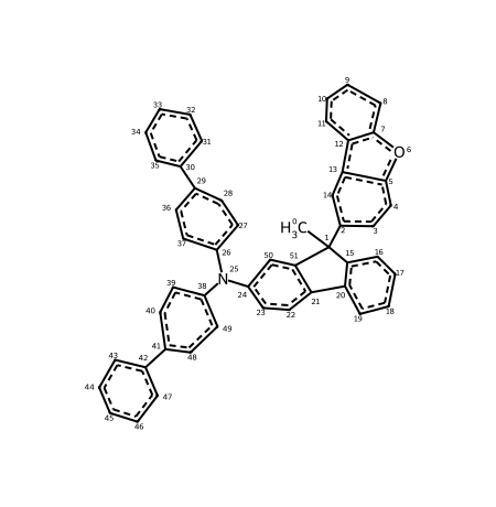 CC1(c2ccc3oc4ccccc4c3c2)c2ccccc2-c2ccc(N(c3ccc(-c4ccccc4)cc3)c3ccc(-c4ccccc4)cc3)cc21